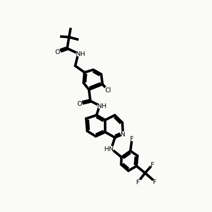 CC(C)(C)C(=O)NCc1ccc(Cl)c(C(=O)Nc2cccc3c(Nc4ccc(C(F)(F)F)cc4F)nccc23)c1